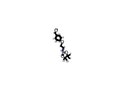 CC1(C)OB(/C=C/COc2ccc(C=O)cc2)OC1(C)C